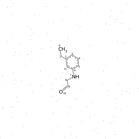 CCc1cccc(NC[C]=O)c1